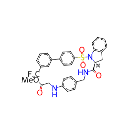 COC(=O)CNc1ccc(CNC(=O)[C@@H]2Cc3ccccc3N2S(=O)(=O)c2ccc(-c3cccc(C(F)(F)F)c3)cc2)cc1